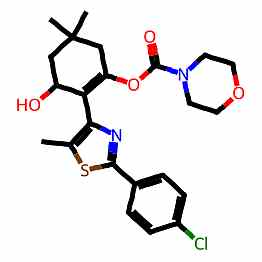 Cc1sc(-c2ccc(Cl)cc2)nc1C1=C(OC(=O)N2CCOCC2)CC(C)(C)CC1O